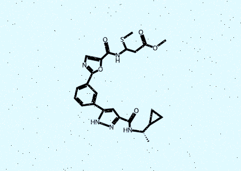 COC(=O)CC(NC(=O)c1cnc(-c2cccc(-c3cc(C(=O)N[C@@H](C)C4CC4)n[nH]3)c2)o1)SC